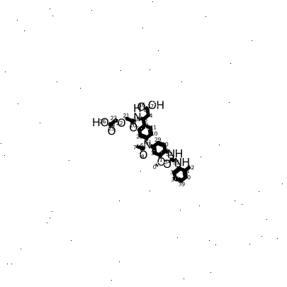 COc1cc(N(C(C)=O)c2ccc(C(CC(=O)O)NC(=O)COCC(=O)O)cc2)ccc1NC(=O)Nc1ccccc1C